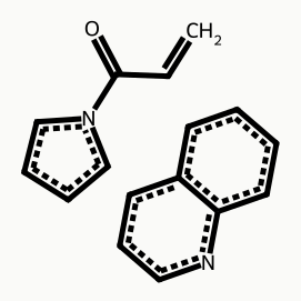 C=CC(=O)n1cccc1.c1ccc2ncccc2c1